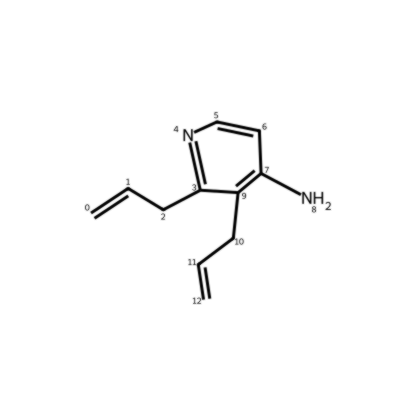 C=CCc1nccc(N)c1CC=C